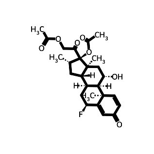 CC(=O)OCC(=O)[C@@]1(OC(C)=O)[C@@H](C)C[C@H]2[C@@H]3C[C@H](F)C4=CC(=O)C=C[C@]4(C)[C@@H]3[C@@H](O)C[C@@]21C